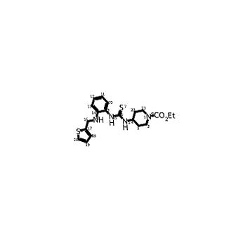 CCOC(=O)N1CCC(NC(=S)Nc2ccccc2NCc2cccs2)CC1